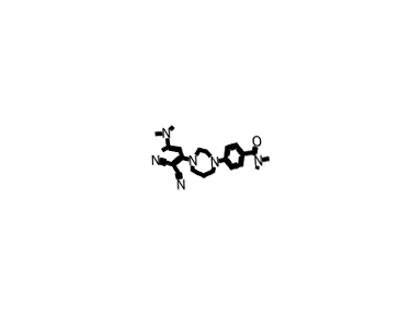 C/C(=C\C(=C(C#N)C#N)N1CCCN(c2ccc(C(=O)N(C)C)cc2)CC1)N(C)C